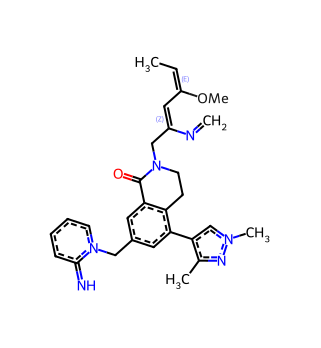 C=N/C(=C\C(=C/C)OC)CN1CCc2c(cc(Cn3ccccc3=N)cc2-c2cn(C)nc2C)C1=O